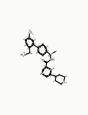 C[C@@H](NC(=O)c1cncc(C2CCOCC2)n1)c1ccc(-c2cc(C(F)(F)F)ccc2CN)cc1